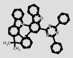 CC1(C)c2ccccc2-c2c1ccc1c3ccccc3n(-c3c(C#N)cc(-c4nc(-c5ccccc5)nc(-c5ccccc5)n4)c4oc5ccccc5c34)c21